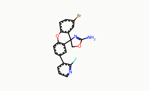 NC1=NC2(CO1)c1cc(Br)ccc1Oc1ccc(-c3cccnc3F)cc12